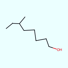 C[CH]C(C)CCCCCO